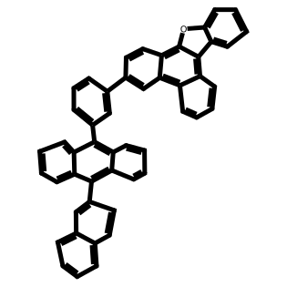 c1cc(-c2ccc3c(c2)c2ccccc2c2c4ccccc4oc32)cc(-c2c3ccccc3c(-c3ccc4ccccc4c3)c3ccccc23)c1